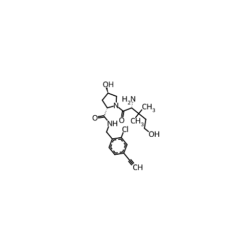 C#Cc1ccc(CNC(=O)[C@@H]2C[C@@H](O)CN2C(=O)[C@H](N)C(C)(C)CCO)c(Cl)c1